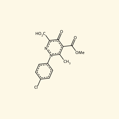 COC(=O)c1c(C)n(-c2ccc(Cl)cc2)nc(C(=O)O)c1=O